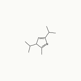 CC1=NC(C(C)C)=CC1C(C)C